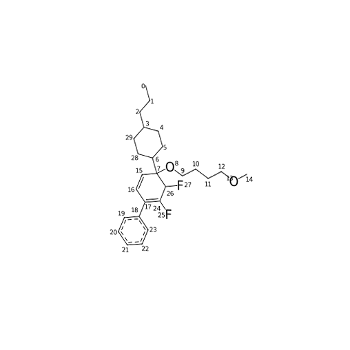 CCCC1CCC(C2(OCCCCOC)C=CC(c3ccccc3)=C(F)C2F)CC1